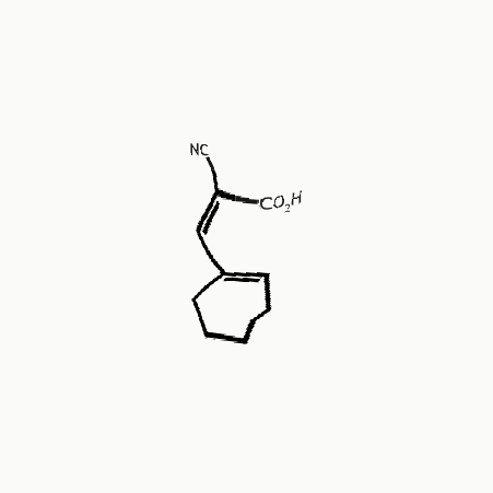 N#CC(=CC1=CCCCC1)C(=O)O